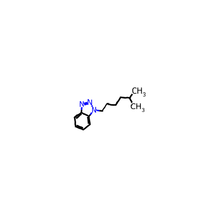 CC(C)CCCCn1nnc2ccccc21